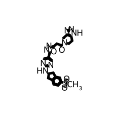 CS(=O)(=O)c1ccc2c(c1)CC(Nc1ncc(-c3nnc(CC(=O)N4CCc5[nH]nnc5C4)o3)cn1)C2